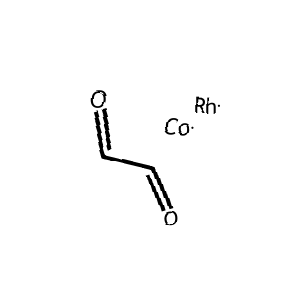 O=CC=O.[Co].[Rh]